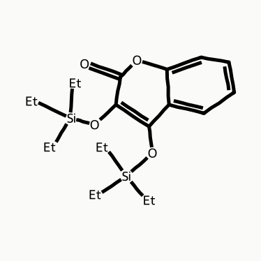 CC[Si](CC)(CC)Oc1c(O[Si](CC)(CC)CC)c2ccccc2oc1=O